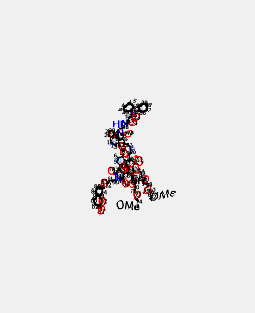 C=CC1OC(/C=C\C2OC(/C=C\C3OC(/C=C\c4ccccc4)C4C(=O)N(CCNC(=O)CP(=O)(c5ccccc5)c5ccccc5)C(=O)C34)C(C(=O)OCCOCCOCCOC)C2C(=O)OCCOCCOCCOC)C2C(=O)N(CCCOc3ccc4ccc(=O)oc4c3)C(=O)C12